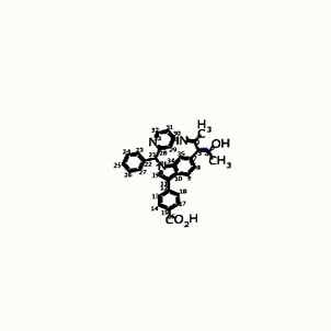 CC(=N)/C(=C(/C)O)c1ccc2c(-c3ccc(C(=O)O)cc3)cn(C(c3ccccc3)c3ccccn3)c2c1